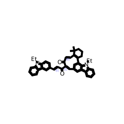 CCn1c2ccccc2c2cc(/C=C/C(=O)/C3=C/c4cc(c5c(c4)c4ccccc4n5CC)C4=C(/C=C/C3=O)C(C)(C)CCC4)ccc21